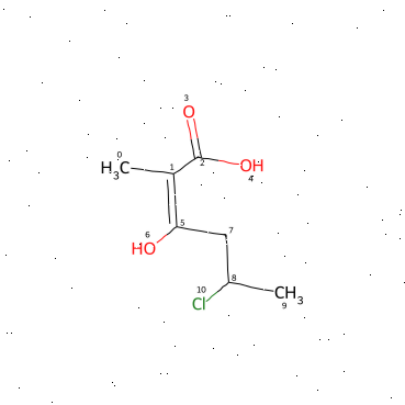 CC(C(=O)O)=C(O)CC(C)Cl